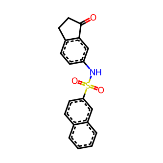 O=C1CCc2ccc(NS(=O)(=O)c3ccc4ccccc4c3)cc21